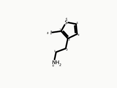 NCCc1ccsc1I